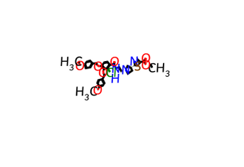 CCOC(=O)c1cnc([C@@H]2CCN(CCNC(=O)c3ccc(OCc4ccc(OC)cc4)c(OCc4ccc(OC)cc4)c3Cl)C2)s1